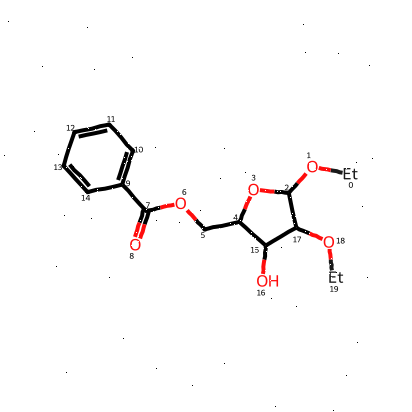 CCOC1OC(COC(=O)c2ccccc2)C(O)C1OCC